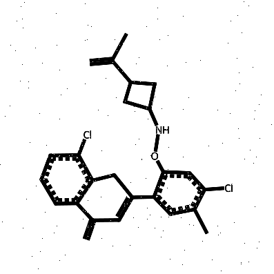 C=C1C=C(c2cc(C)c(Cl)cc2ONC2CC(C(=C)C)C2)Cc2c(Cl)cccc21